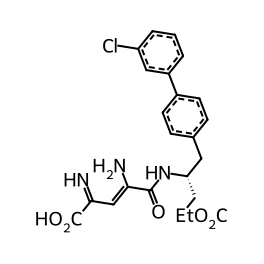 CCOC(=O)C[C@@H](Cc1ccc(-c2cccc(Cl)c2)cc1)NC(=O)/C(N)=C/C(=N)C(=O)O